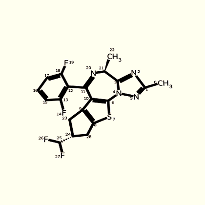 Cc1nc2n(n1)-c1sc3c(c1C(c1c(F)cccc1F)=N[C@H]2C)C[C@@H](C(F)F)C3